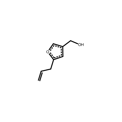 C=CCc1cc(CO)co1